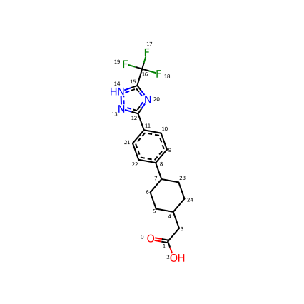 O=C(O)CC1CCC(c2ccc(-c3n[nH]c(C(F)(F)F)n3)cc2)CC1